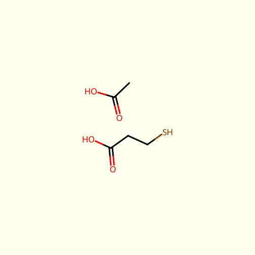 CC(=O)O.O=C(O)CCS